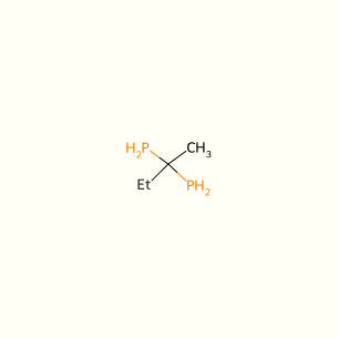 CCC(C)(P)P